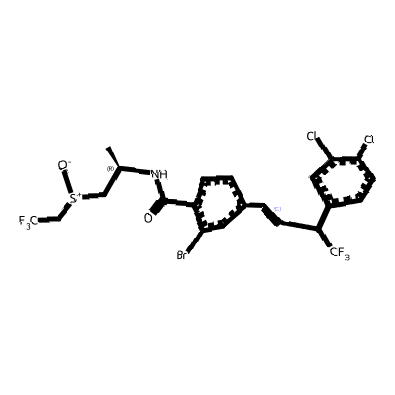 C[C@H](C[S+]([O-])CC(F)(F)F)NC(=O)c1ccc(/C=C/C(c2ccc(Cl)c(Cl)c2)C(F)(F)F)cc1Br